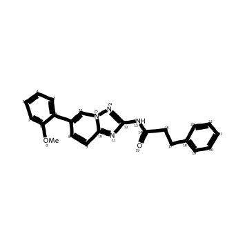 COc1ccccc1-c1ccc2nc(NC(=O)CCc3ccccc3)nn2c1